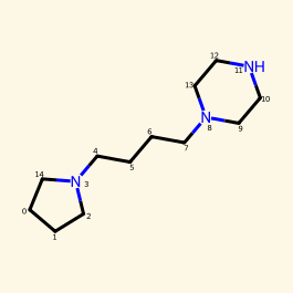 C1CCN(CCCCN2CCNCC2)C1